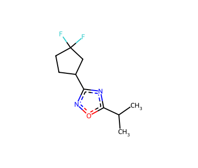 CC(C)c1nc(C2CCC(F)(F)C2)no1